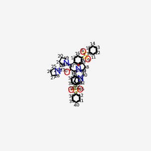 O=C([C@H](c1ccc(S(=O)(=O)c2ccccc2)cc1)N1CCC[C@H]1CN1CCCC1)[C@H](c1ccc(S(=O)(=O)c2ccccc2)cc1)N1CCC[C@H]1CN1CCCC1